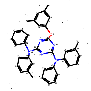 Cc1cc(C)cc(Oc2nc(N(c3ccccc3)c3cccc(C)c3)nc(N(c3ccccc3)c3cccc(C)c3)n2)c1